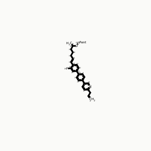 C=CCc1ccc(-c2ccc(-c3ccc(C=CCCCC(C)OCCCCC)c(F)c3)cc2)cn1